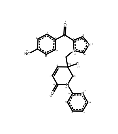 N#Cc1ccc(C(=O)c2cncn2CC2(Cl)C=CC(=O)N(c3ccccn3)C2)cc1